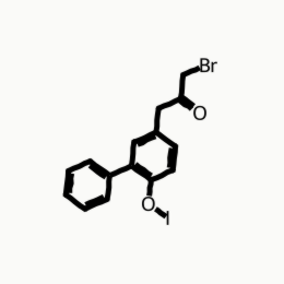 O=C(CBr)Cc1ccc(OI)c(-c2ccccc2)c1